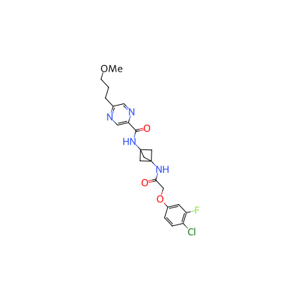 COCCCc1cnc(C(=O)NC23CC(NC(=O)COc4ccc(Cl)c(F)c4)(C2)C3)cn1